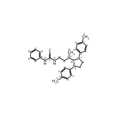 Cc1ccc(N2CCN(c3ccc(C)cc3)P2N(C)CCNC(=S)Nc2ccccc2)cc1